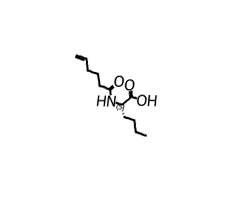 C=CCCCC(=O)N[C@@H](CCCC)C(=O)O